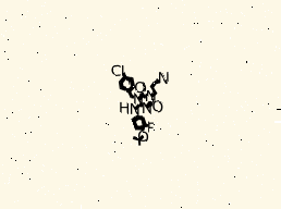 CC(C)Oc1ccc(Nc2nc(=O)n(CCC#N)c(=O)n2Cc2ccc(Cl)cc2)cc1F